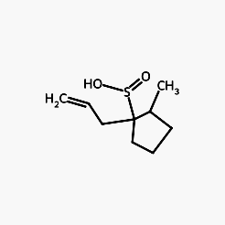 C=CCC1(S(=O)O)CCCC1C